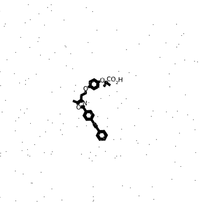 Cc1oc(-c2ccc(C#Cc3ccccc3)cc2)nc1CCOc1ccc(OC(C)(C)C(=O)O)cc1